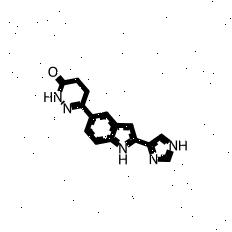 O=C1CCC(c2ccc3[nH]c(-c4c[nH]cn4)cc3c2)=NN1